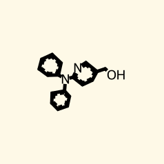 OCc1ccc(N(c2ccccc2)c2ccccc2)nc1